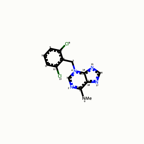 CNc1ncn(Cc2c(Cl)cccc2Cl)c2ncnc1-2